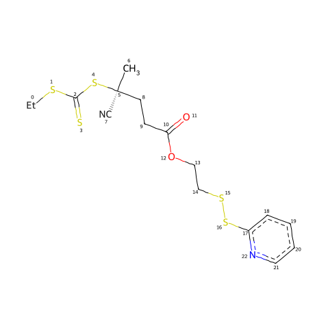 CCSC(=S)S[C@](C)(C#N)CCC(=O)OCCSSc1ccccn1